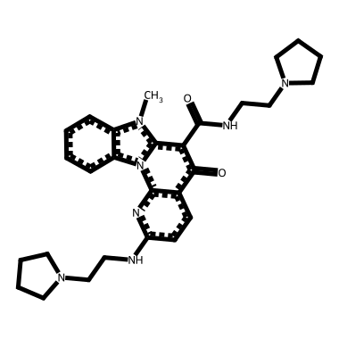 Cn1c2ccccc2n2c3nc(NCCN4CCCC4)ccc3c(=O)c(C(=O)NCCN3CCCC3)c12